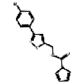 CCc1ccc(-c2cc(CNC(=O)C3C=CC=C3)on2)cc1